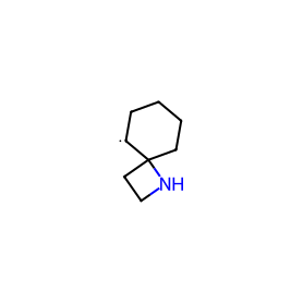 [CH]1CCCCC12CCN2